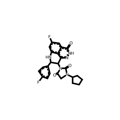 O=C1CN(C2CCCC2)C(=O)N1C1c2n[nH]c(=O)c3cc(F)cc(c23)NC1c1ccc(F)cc1